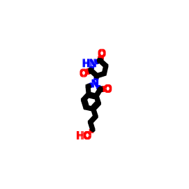 O=C1CCC(N2Cc3ccc(CCCO)cc3C2=O)C(=O)N1